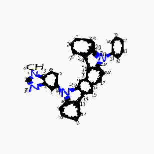 Cn1cnc2cc(-n3c4ccccc4c4cc5ccc6c(c5cc43)c3ccccc3n6-c3ccccc3)ccc21